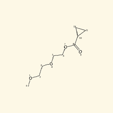 COCCOCCOC(=O)C1CC1